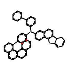 C1=CCC2C(=C1)Sc1c2ccc2cc(N(c3ccc(-c4cccc5ccc6ccc7ccccc7c6c45)cc3)c3cccc(-c4ccccc4)c3)ccc12